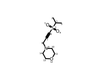 CC(C)S(=O)(=O)C#CCN1CCOCC1